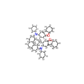 c1ccc(N(c2ccc3oc4ccccc4c3c2)c2ccc3ccc4ccc(N(c5ccccc5)c5ccc6oc7ccccc7c6c5)c5ccc2c3c45)cc1